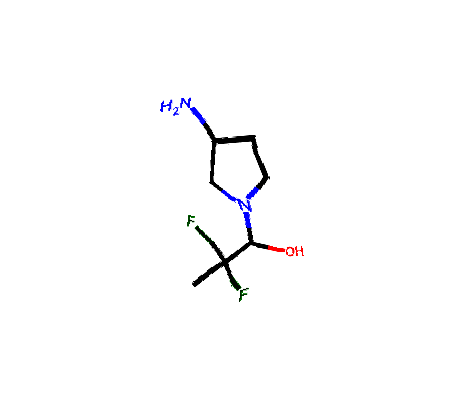 CC(F)(F)C(O)N1CCC(N)C1